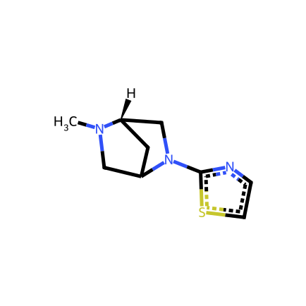 CN1CC2C[C@H]1CN2c1nccs1